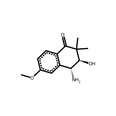 COc1ccc2c(c1)[C@@H](N)[C@H](O)C(C)(C)C2=O